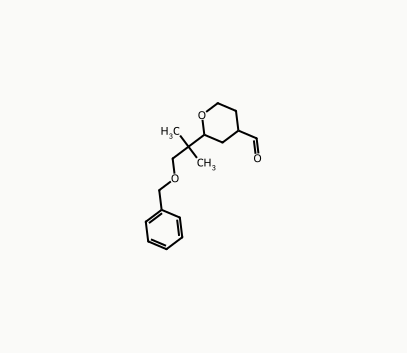 CC(C)(COCc1ccccc1)C1CC(C=O)CCO1